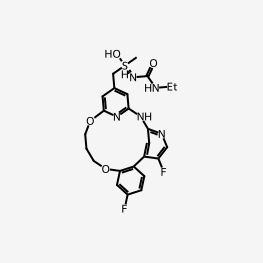 CCNC(=O)N=[SH](C)(O)Cc1cc2nc(c1)OCCCOc1cc(F)ccc1-c1cc(ncc1F)N2